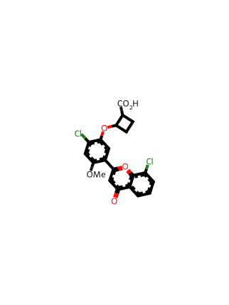 COc1cc(Cl)c(OC2CCC2C(=O)O)cc1-c1cc(=O)c2cccc(Cl)c2o1